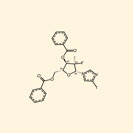 C[C@@]1(F)[C@H](OC(=O)c2ccccc2)[C@@H](COC(=O)c2ccccc2)O[C@H]1n1cnc(I)c1